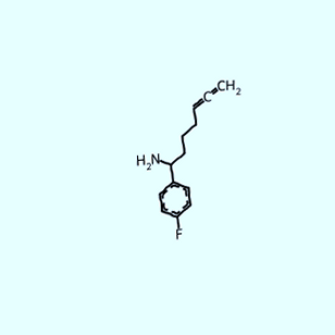 C=C=CCCCC(N)c1ccc(F)cc1